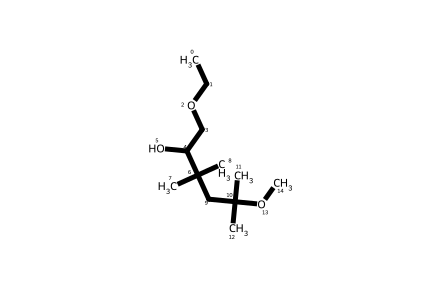 CCOCC(O)C(C)(C)CC(C)(C)OC